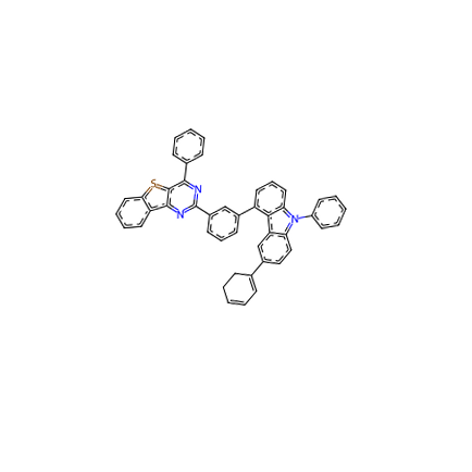 C1=CCCC(c2ccc3c(c2)c2c(-c4cccc(-c5nc(-c6ccccc6)c6sc7ccccc7c6n5)c4)cccc2n3-c2ccccc2)=C1